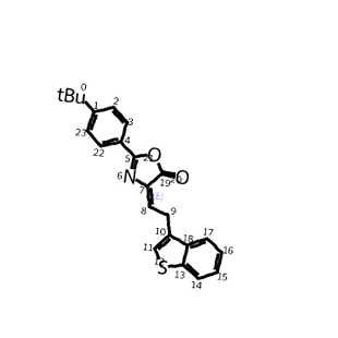 CC(C)(C)c1ccc(C2=N/C(=C/Cc3csc4ccccc34)C(=O)O2)cc1